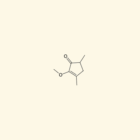 COC1=C(C)CC(C)C1=O